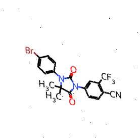 CC1(C)C(=O)N(c2ccc(C#N)c(C(F)(F)F)c2)C(=O)N1c1ccc(Br)cc1